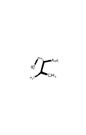 CC(C)C[AsH2].OP